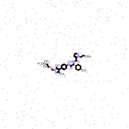 CSCCn1nccc1C(=O)NC(C(=O)Nc1ccc(-c2c(C)nn(COCCS(C)(C)C)c2C)cc1)[C@H]1CC[C@H](C)CC1